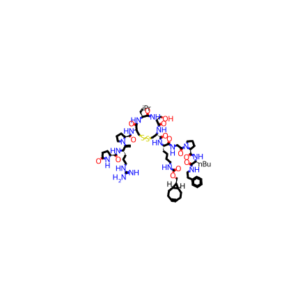 C=C([C@H](CCCNC(=N)N)NC(=O)[C@@H]1CCC(=O)N1)N1CCC[C@H]1C(=O)N[C@H]1CSSC[C@@H](C(=O)N[C@@H](CCCCNC(=O)OC[C@@H]2[C@@H]3CCC#CCC[C@@H]32)C(=O)NCC(=O)N2CCC[C@H]2C(=O)N[C@H](CCCC)C(=O)NCCc2ccccc2)NC(=O)[C@H](CO)NC(=O)[C@H](CC(C)C)NC1=O